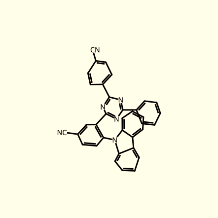 N#Cc1ccc(-c2nc(-c3ccccc3)nc(-c3cc(C#N)ccc3-n3c4ccccc4c4ccccc43)n2)cc1